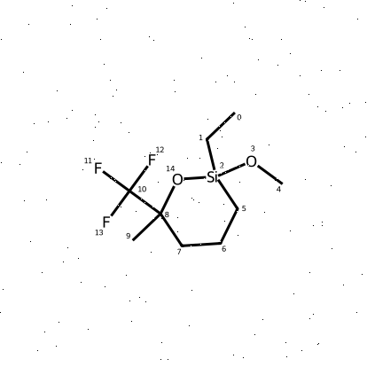 CC[Si]1(OC)CCCC(C)(C(F)(F)F)O1